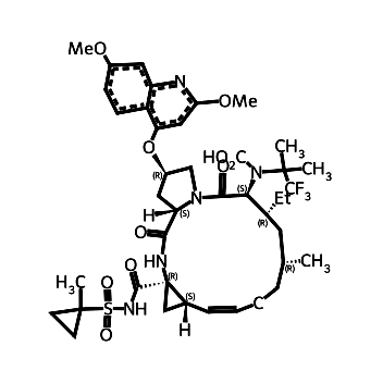 CC[C@@H]1C[C@H](C)CCC=C[C@@H]2C[C@@]2(C(=O)NS(=O)(=O)C2(C)CC2)NC(=O)[C@@H]2C[C@@H](Oc3cc(OC)nc4cc(OC)ccc34)CN2C(=O)[C@H]1N(C(=O)O)C(C)(C)C(F)(F)F